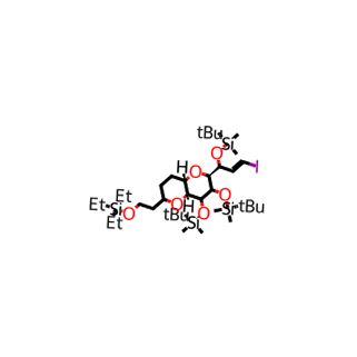 CC[Si](CC)(CC)OCCC1CC[C@@H]2O[C@@H](C(/C=C/I)O[Si](C)(C)C(C)(C)C)C(O[Si](C)(C)C(C)(C)C)C(O[Si](C)(C)C(C)(C)C)[C@H]2O1